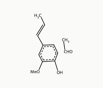 C/C=C/c1ccc(O)c(OC)c1.CC=O